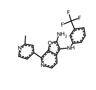 Cc1cc(-c2nccc3c(Nc4cccc(C(F)(F)F)c4)c(N)oc23)ccn1